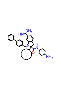 N=C(N)c1ccc2c(c1)N(Cc1ccc(-c3ccccc3)cc1)C(C(=O)N[C@H]1CC[C@H](N)CC1)(C1CCCCCCCCC1)C2